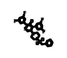 O=c1c(-c2cc(F)cc(F)c2)c(N2CCN(S(=O)(=O)Cc3ccccc3)CC2)cnn1-c1cc(F)cc(F)c1